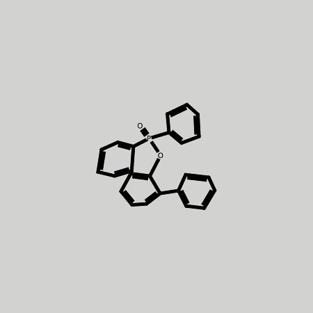 O=P(Oc1ccccc1-c1ccccc1)(c1ccccc1)c1ccccc1